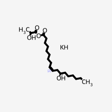 CCCCCC[C@@H](O)C/C=C\CCCCCCCC(=O)OC(=O)C(C)O.[KH]